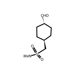 CNS(=O)(=O)C[C@H]1CC[C@H](C=O)CC1